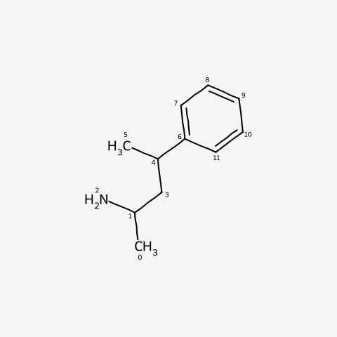 CC(N)CC(C)c1ccccc1